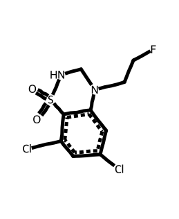 O=S1(=O)NCN(CCF)c2cc(Cl)cc(Cl)c21